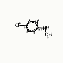 ONc1ccc(Cl)cn1